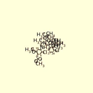 COC(=O)Cc1cc(Cl)c(NCC(C)N(CC(O[Si](C)(C)C(C)(C)C)c2cccc(Cl)c2)C(=O)OC(C)(C)C)cc1OC